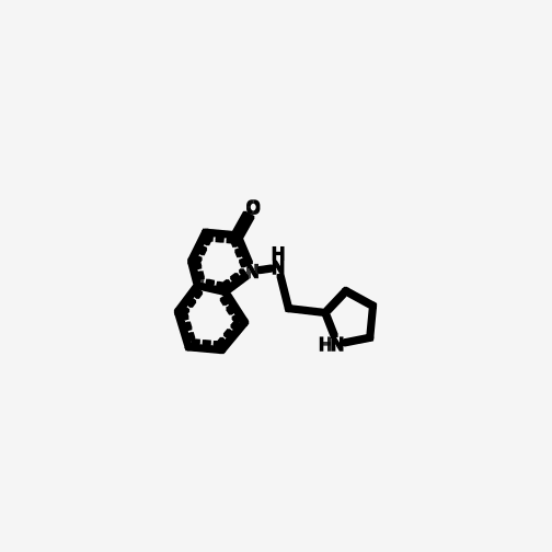 O=c1ccc2ccccc2n1NCC1CCCN1